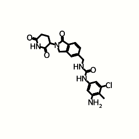 Cc1c(N)cc(NC(=O)NCc2ccc3c(c2)CN(C2CCC(=O)NC2=O)C3=O)cc1Cl